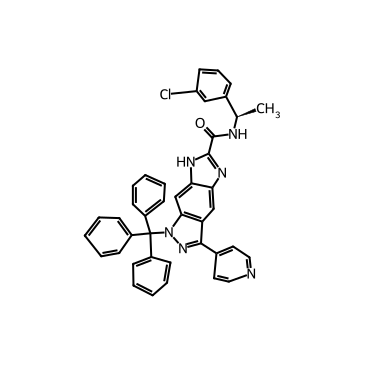 C[C@@H](NC(=O)c1nc2cc3c(-c4ccncc4)nn(C(c4ccccc4)(c4ccccc4)c4ccccc4)c3cc2[nH]1)c1cccc(Cl)c1